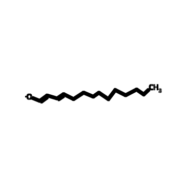 CCCCCCCCCCC=CC=C[O]